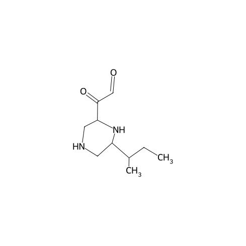 CCC(C)C1CNCC(C(=O)C=O)N1